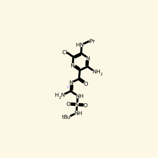 CC(C)Nc1nc(N)c(C(=O)/N=C(/N)NS(=O)(=O)NC(C)(C)C)nc1Cl